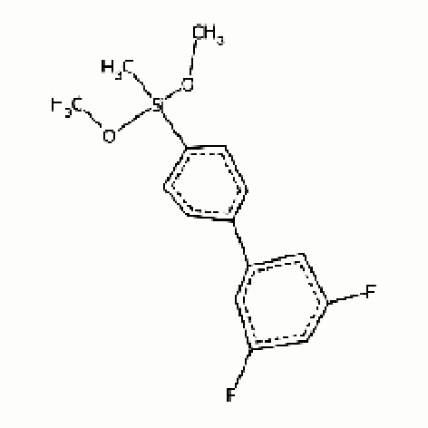 CO[Si](C)(OC)c1ccc(-c2cc(F)cc(F)c2)cc1